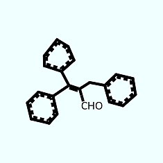 O=CC(Cc1ccccc1)=C(c1ccccc1)c1ccccc1